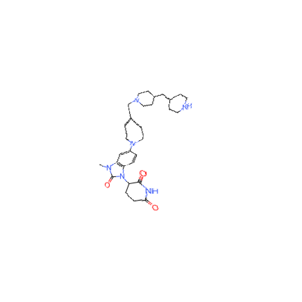 Cn1c(=O)n(C2CCC(=O)NC2=O)c2ccc(N3CCC(CN4CCC(CC5CCNCC5)CC4)CC3)cc21